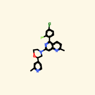 Cc1cc(C2CN(c3cc4nc(C)ccc4c(-c4ccc(Cl)cc4F)n3)CCO2)ccn1